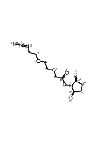 [N-]=[N+]=NCCOCCOCC(=O)ON1C(=O)CCC1=O